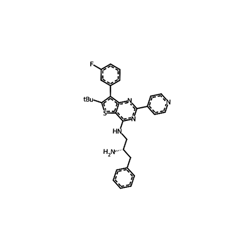 CC(C)(C)c1sc2c(NC[C@@H](N)Cc3ccccc3)nc(-c3ccncc3)nc2c1-c1cccc(F)c1